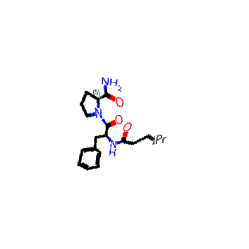 CC(C)CCC(=O)NC(Cc1ccccc1)C(=O)N1CCC[C@H]1C(N)=O